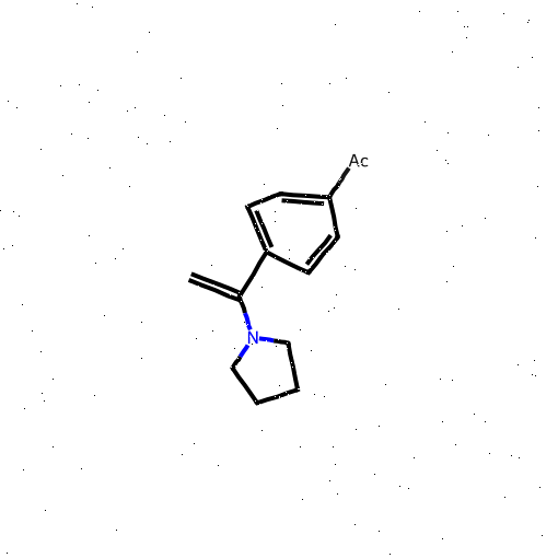 C=C(c1ccc(C(C)=O)cc1)N1CCCC1